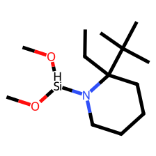 CCC1(C(C)(C)C)CCCCN1[SiH](OC)OC